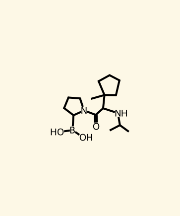 CC(C)NC(C(=O)N1CCCC1B(O)O)C1(C)CCCC1